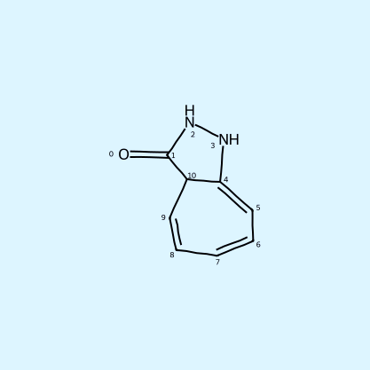 O=C1NNC2=CC=CC=CC12